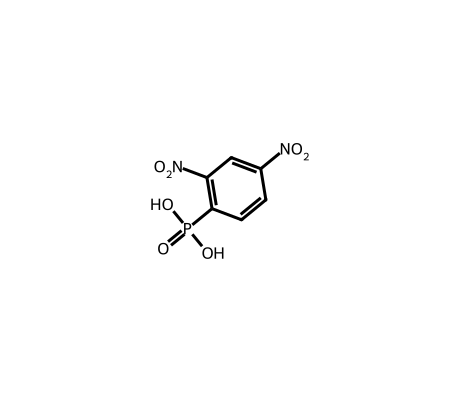 O=[N+]([O-])c1ccc(P(=O)(O)O)c([N+](=O)[O-])c1